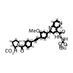 COc1cc(-c2cc(C(=O)NNC(=O)OC(C)(C)C)c3cnccc3n2)ccc1C#Cc1ccc(C(=O)N2CCCCC2C(=O)O)cc1